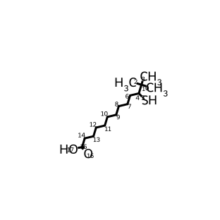 CC(C)(C)C(S)CCCCCCCCCC(=O)O